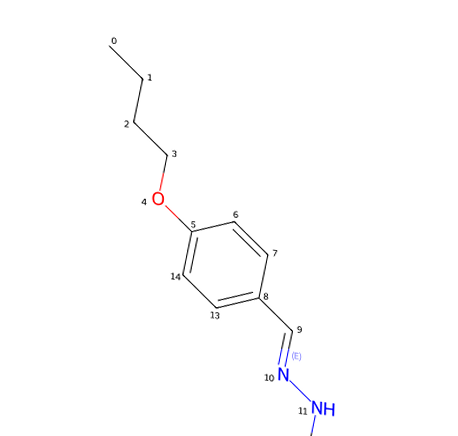 CCCCOc1ccc(/C=N/NC)cc1